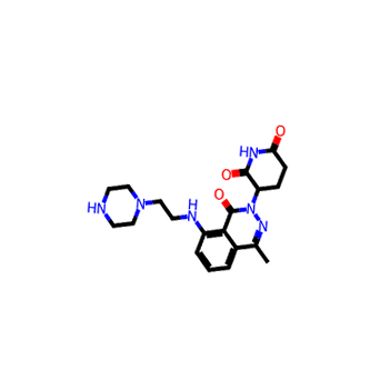 Cc1nn(C2CCC(=O)NC2=O)c(=O)c2c(NCCN3CCNCC3)cccc12